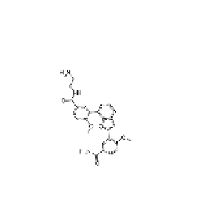 COc1ccc(C(N)=O)cc1-c1cc2nccc(-c3cc(C(=O)NCCN)ccc3OC)c2o1